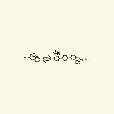 CCCCC(CC)Cc1ccc(-c2ccc(-c3ccc(-c4cc5sc(-c6ccc(CC(CC)CCCC)cc6)cc5s4)c4nsnc34)cc2)cc1